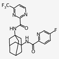 O=C(NC12CC3CC(C1)CC(NC(=O)c1nccc(C(F)(F)F)n1)(C3)C2)c1ccc(F)cn1